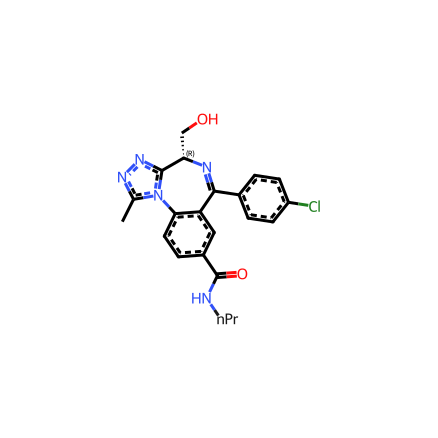 CCCNC(=O)c1ccc2c(c1)C(c1ccc(Cl)cc1)=N[C@@H](CO)c1nnc(C)n1-2